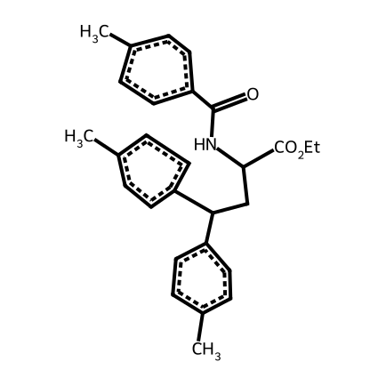 CCOC(=O)C(CC(c1ccc(C)cc1)c1ccc(C)cc1)NC(=O)c1ccc(C)cc1